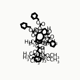 CC(=O)O[C@@]12CO[C@@H]1C[C@H](OC(=O)OCc1ccccc1)[C@@]1(C)C(=O)[C@H](OC(=O)OCc3ccccc3)C3=C(C)[C@@H](OC(=O)[C@H](O[Si](C)(C)C(C)(C)C)[C@@H](NC(=O)OC(C)(C)C)c4ccccc4)C[C@@](O)([C@@H](OC(=O)c4ccccc4)C12)C3(C)C